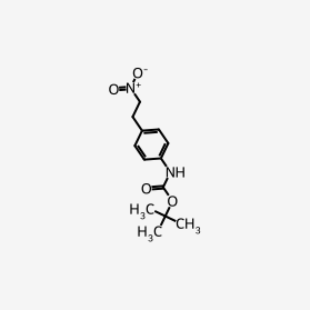 CC(C)(C)OC(=O)Nc1ccc(CC[N+](=O)[O-])cc1